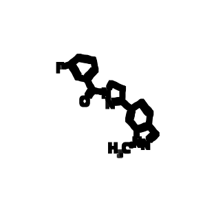 Cn1ncc2ccc(C3=NN(C(=O)c4cccc(F)c4)CC3)cc21